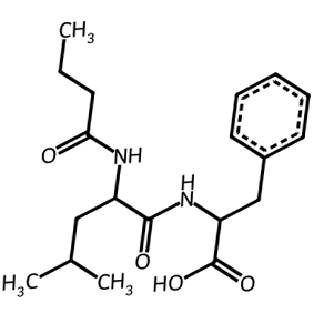 CCCC(=O)NC(CC(C)C)C(=O)NC(Cc1ccccc1)C(=O)O